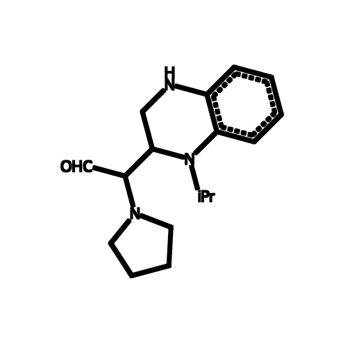 CC(C)N1c2ccccc2NCC1C(C=O)N1CCCC1